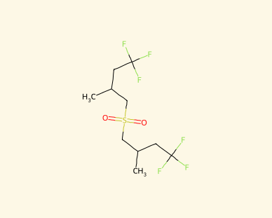 CC(CC(F)(F)F)CS(=O)(=O)CC(C)CC(F)(F)F